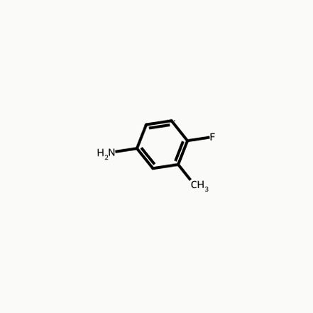 Cc1cc(N)c[c]c1F